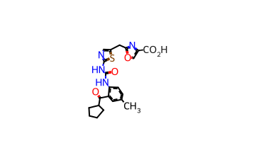 Cc1ccc(NC(=O)Nc2ncc(Cc3nc(C(=O)O)co3)s2)c(C(=O)C2CCCC2)c1